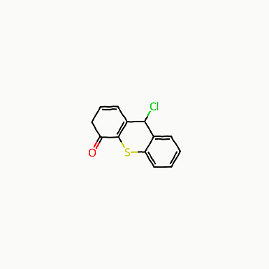 O=C1CC=CC2=C1Sc1ccccc1C2Cl